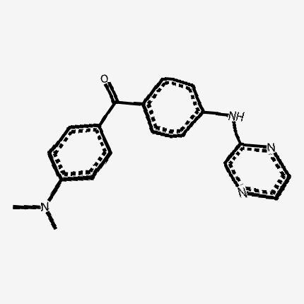 CN(C)c1ccc(C(=O)c2ccc(Nc3cnccn3)cc2)cc1